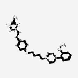 COc1ccccc1N1CCN(CCCCOc2ccc(CCn3nnc(C)n3)cc2)CC1